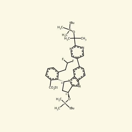 CCOC(=O)c1cccc(CC(F)F)c1[C@H]1C[C@H](O[Si](C)(C)C(C)(C)C)c2nc3ccc(-c4cnc(C(C)(C)O[Si](C)(C)C(C)(C)C)nc4)cc3n21